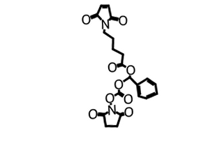 O=C(CCCCN1C(=O)C=CC1=O)OC(OC(=O)ON1C(=O)CCC1=O)c1ccccc1